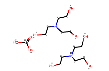 OCCN(CCO)CCO.OCCN(CCO)CCO.[O]=[Zr]([OH])[OH]